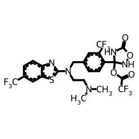 CN(C)CCN(Cc1ccc(C2(OC(=O)C(F)(F)F)NOC(=O)N2)c(C(F)(F)F)c1)c1nc2ccc(C(F)(F)F)cc2s1